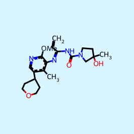 C=C/C(=N\c1c(OC)ncc(C2CCOCC2)c1C)NC(=O)N1CCC(C)(O)C1